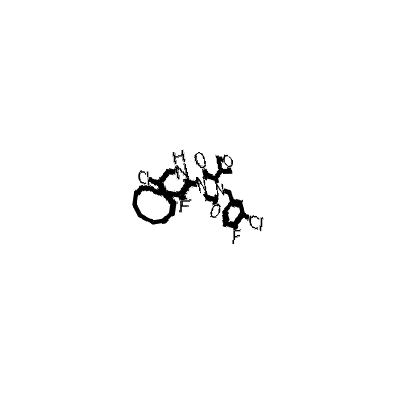 O=C1C(C2COC2)N(Cc2ccc(F)c(Cl)c2)C(=O)CN1C1NCC(Cl)C2(CCCCCCCCC2)C1F